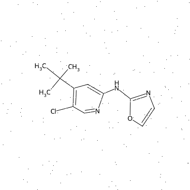 CC(C)(C)c1cc(Nc2ncco2)ncc1Cl